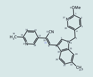 COc1ccc(Cn2cc(/C=C(\C#N)c3ccc(C)nc3)c3ccc(C)cc32)cn1